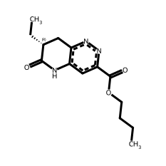 CCCCOC(=O)c1cc2c(nn1)C[C@@H](CC)C(=O)N2